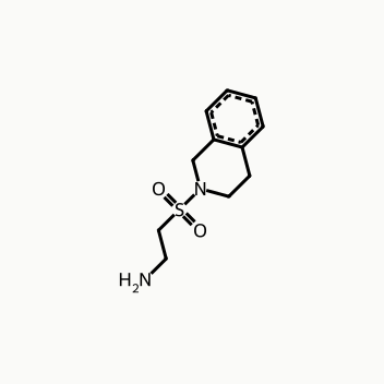 NCCS(=O)(=O)N1CCc2ccccc2C1